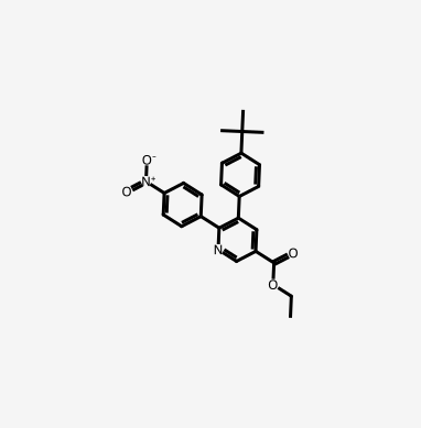 CCOC(=O)c1cnc(-c2ccc([N+](=O)[O-])cc2)c(-c2ccc(C(C)(C)C)cc2)c1